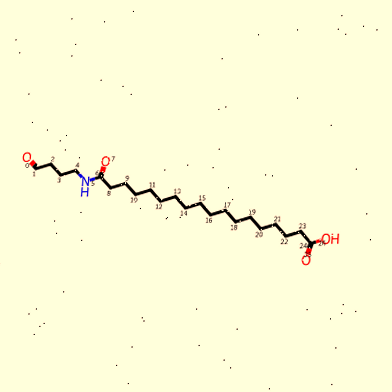 O=CCCCNC(=O)CCCCCCCCCCCCCCCCC(=O)O